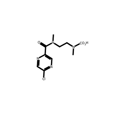 CN(CCN(C)C(=O)c1cnc(Cl)cn1)C(=O)O